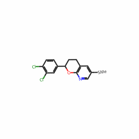 CSc1cnc2c(c1)CCC(c1ccc(Cl)c(Cl)c1)O2